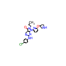 C=CCn1c(=O)c2cnc(Nc3ccc(Cl)cc3)nc2n1-c1cccc(O[C@H]2CCNC2)n1